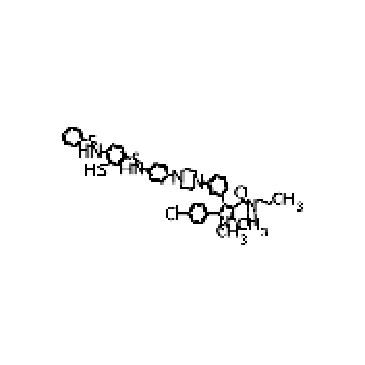 CCCNC(=O)c1c(-c2cccc(N3CCN(c4ccc(NSc5ccc(NSc6ccccc6)c(S)c5)cc4)CC3)c2)c(-c2ccc(Cl)cc2)n(C)c1C